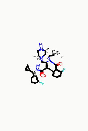 C[C@@H]1CN[C@@H](C)CN1Cc1c(C(=O)N[C@H](c2cccc(F)c2)C2CC2)c2cccc(F)c2c(=O)n1CCC(F)(F)F